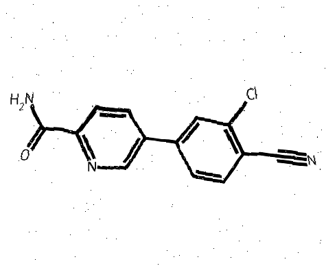 N#Cc1ccc(-c2c[c]c(C(N)=O)nc2)cc1Cl